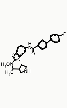 CC(C1CCNC1)N(C)c1nc2cc(NC(=O)c3ccc(-c4ccc(F)cc4)cc3)ccc2o1